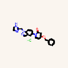 Cl.O=c1cc(OCc2ccccc2)ccn1-c1ccc2c(cnn2CC2=NCCN2)c1